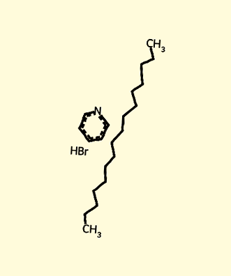 Br.CCCCCCCCCCCCCCCC.c1ccncc1